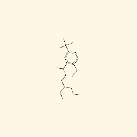 CCCN(CC)CCC(C)c1cc(C(F)(F)F)ccc1CC